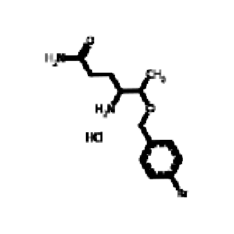 CC(OCc1ccc(Br)cc1)C(N)CCC(N)=O.Cl